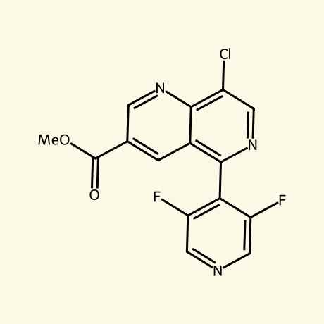 COC(=O)c1cnc2c(Cl)cnc(-c3c(F)cncc3F)c2c1